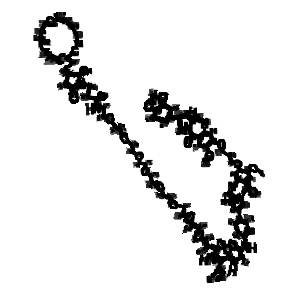 COc1cc2c(cc1OCCCOc1cc3c(cc1OC)C(=O)N1C=C(c4ccc5c(c4)OCO5)C[C@H]1C=N3)N=C[C@@H]1CC(c3ccc(NC(=O)[C@H](C)NC(=O)[C@@H](NC(=O)CCOCCOCCOCCOCCOCCOCCOCCOCCNC(=O)CCN4C(=O)CC(SCC5CCCCCCCCCCCCCC5)C4=O)C(C)C)cc3)=CN1C2=O